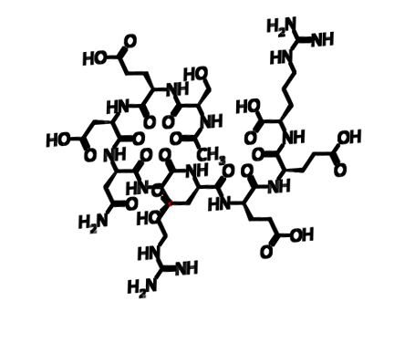 CC(=O)N[C@H](CO)C(=O)N[C@H](CCC(=O)O)C(=O)N[C@H](CC(=O)O)C(=O)N[C@H](CC(N)=O)C(=O)N[C@H](CCCNC(=N)N)C(=O)N[C@H](CC(=O)O)C(=O)N[C@H](CCC(=O)O)C(=O)N[C@H](CCC(=O)O)C(=O)N[C@H](CCCNC(=N)N)C(=O)O